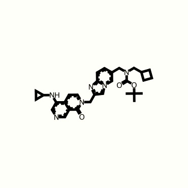 CC(C)(C)OC(=O)N(Cc1ccc2nc(Cn3ccc4c(NC5CC5)cncc4c3=O)cn2c1)CC1CCC1